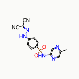 Cc1cnc(NS(=O)(=O)c2ccc(NN=C(C#N)C#N)cc2)cn1